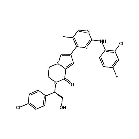 Cc1cnc(Nc2ccc(F)cc2Cl)nc1-c1cc2n(c1)CCN([C@@H](CO)c1ccc(Cl)cc1)C2=O